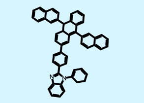 C1=CCCC(n2c(-c3ccc(C4=CC5=C(c6ccc7ccccc7c6)c6ccccc6C(c6ccc7ccccc7c6)C5C=C4)cc3)nc3ccccc32)=C1